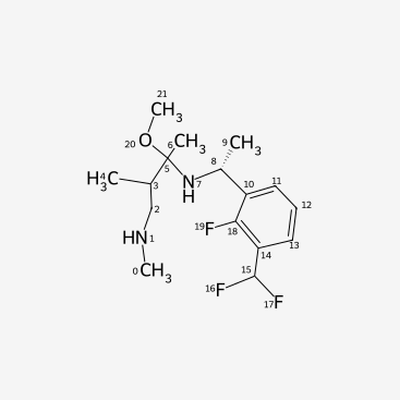 CNCC(C)C(C)(N[C@H](C)c1cccc(C(F)F)c1F)OC